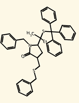 CCC(C)(SC(c1ccccc1)(c1ccccc1)c1ccccc1)C1CC(CSCc2ccccc2)C(=O)N1Cc1ccccc1